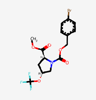 COC(=O)[C@@H]1C[C@@H](OC(F)(F)F)CN1C(=O)OCc1ccc(Br)cc1